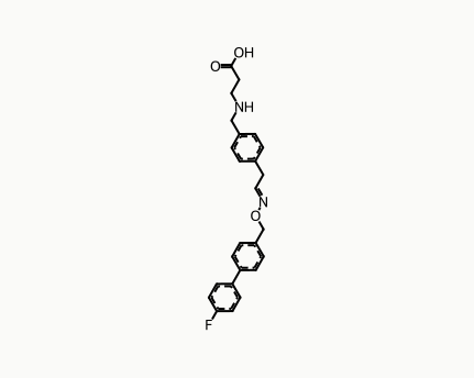 O=C(O)CCNCc1ccc(CC=NOCc2ccc(-c3ccc(F)cc3)cc2)cc1